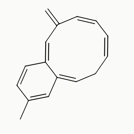 C=C1/C=C\C=C/C/C=c2/cc(C)cc/c2=C/1